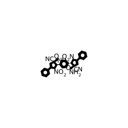 N#C[C@@]1(C(N)=O)C=C(c2ccccc2)[C@@H]([N+](=O)[O-])[C@@H]1c1ccc([C@@H]2[C@@H]([N+](=O)[O-])C(c3ccccc3)=C[C@]2(C#N)C(N)=O)cc1